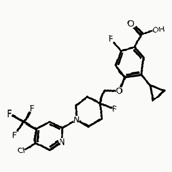 O=C(O)c1cc(C2CC2)c(OCC2(F)CCN(c3cc(C(F)(F)F)c(Cl)cn3)CC2)cc1F